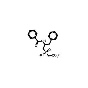 O=C(O)CP(=O)(O)CC(Cc1ccccc1)NC(=O)c1ccccc1